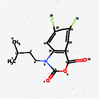 CC(C)CCn1c(=O)oc(=O)c2cc(F)c(F)cc21